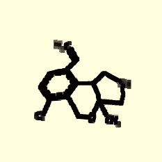 C=Cc1ccc(Cl)c2c1C1CNCC1(C)OC2